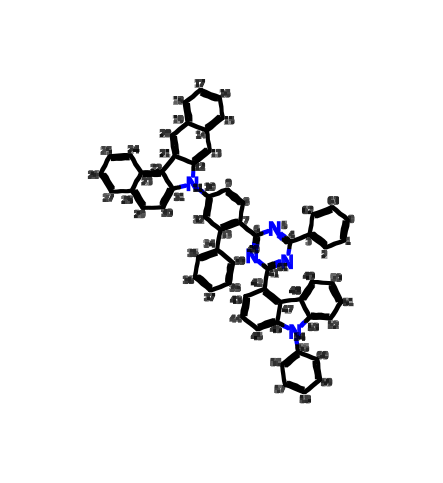 c1ccc(-c2nc(-c3ccc(-n4c5cc6ccccc6cc5c5c6ccccc6ccc54)cc3-c3ccccc3)nc(-c3cccc4c3c3ccccc3n4-c3ccccc3)n2)cc1